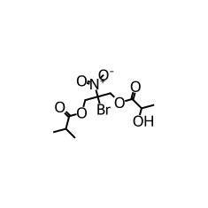 CC(C)C(=O)OCC(Br)(COC(=O)C(C)O)[N+](=O)[O-]